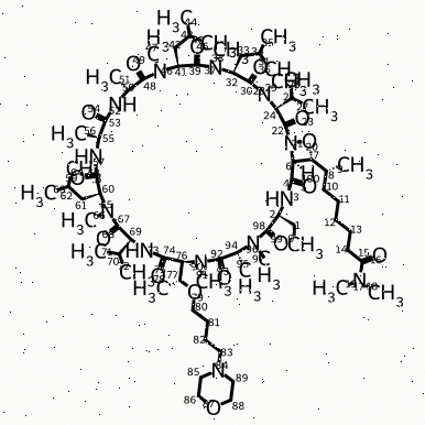 CC[C@@H]1NC(=O)[C@@H]2[C@@H]([C@H](C)CCCCCC(=O)N(C)C)ON2C(=O)[C@H](C(C)C)N(C)C(=O)[C@H](CC(C)C)N(C)C(=O)[C@H](CC(C)C)N(C)C(=O)[C@@H](C)NC(=O)[C@H](C)NC(=O)[C@H](CC(C)C)N(C)C(=O)[C@H](C(C)C)NC(=O)[C@H]([C@@H](C)OCCCCN2CCOCC2)N(C)C(=O)[C@@H](C)N(C)C1=O